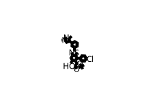 Cc1cc2nc(-c3cccc(-c4cn(C)nc4C)c3)sc2c(-c2ccc(Cl)cc2)c1[C@H](OC(C)(C)C)C(=O)O